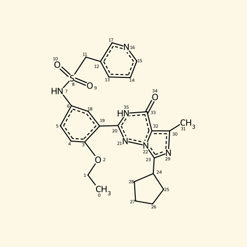 CCOc1ccc(NS(=O)(=O)Cc2cccnc2)cc1-c1nn2c(C3CCCC3)nc(C)c2c(=O)[nH]1